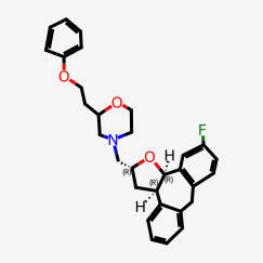 Fc1ccc2c(c1)[C@@H]1O[C@@H](CN3CCOC(CCOc4ccccc4)C3)C[C@@H]1c1ccccc1C2